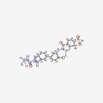 Cc1c(C(=O)N2CCOc3ccc(-c4ccc5nc(C(=O)NC(C)(C)C)[nH]c5c4)cc3C2)ccc(S(C)(=O)=O)c1F